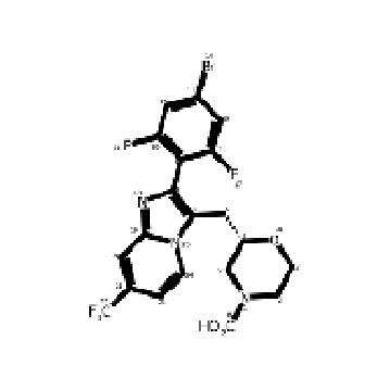 O=C(O)N1CCO[C@@H](Cc2c(-c3c(F)cc(Br)cc3F)nc3cc(C(F)(F)F)ccn23)C1